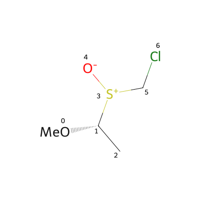 CO[C@@H](C)[S+]([O-])CCl